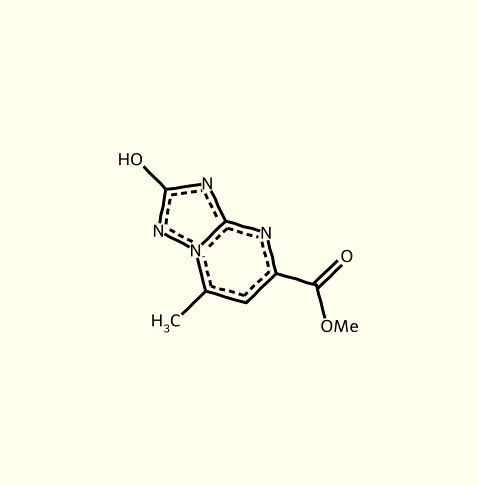 COC(=O)c1cc(C)n2nc(O)nc2n1